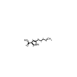 CCCCCc1cc(C(=O)O)c[nH]1